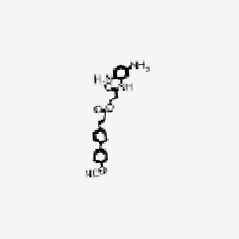 N#COc1ccc(-c2ccc(/C=C/C(=O)OCCC(=O)Nc3cc(N)ccc3N)cc2)cc1